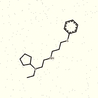 CCN(CCNCCCSc1ccccc1)C1CCCC1